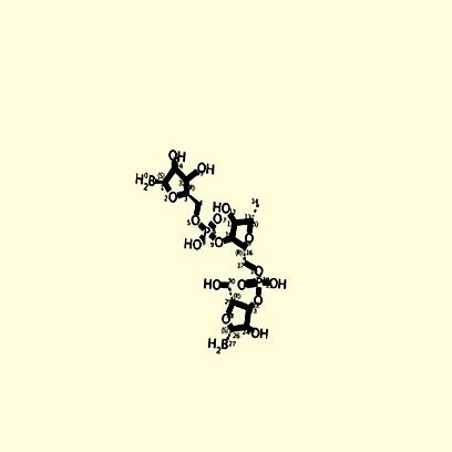 B[C@@H]1O[C@H](COP(=O)(O)OC2C(O)[C@H](C)O[C@@H]2COP(=O)(O)OC2C(O)[C@H](B)O[C@@H]2CO)C(O)C1O